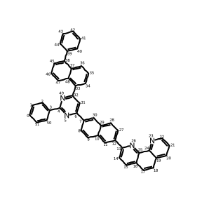 c1ccc(-c2nc(-c3ccc4cc(-c5ccc6ccc7cccnc7c6n5)ccc4c3)cc(-c3cccc4c(-c5ccccc5)cccc34)n2)cc1